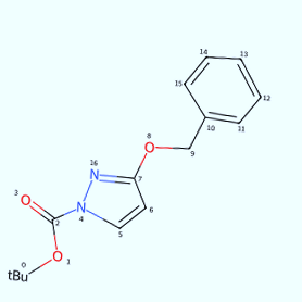 CC(C)(C)OC(=O)n1ccc(OCc2ccccc2)n1